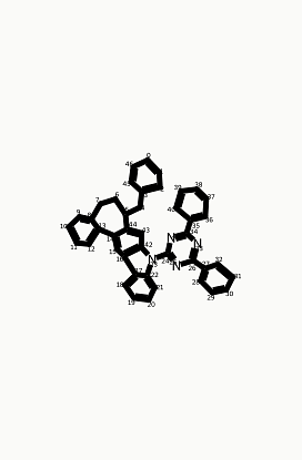 c1ccc(CC2CCc3ccccc3-c3cc4c5ccccc5n(-c5nc(-c6ccccc6)nc(-c6ccccc6)n5)c4cc32)cc1